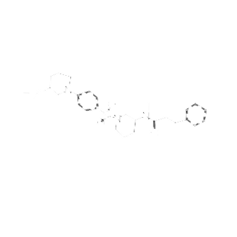 CC1CCCN(c2ccc(S(=O)(=O)N3CCCC(NC(=O)CCc4ccccc4)C3)cc2)C1